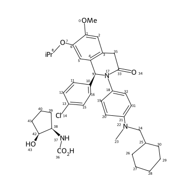 COc1cc2c(cc1OC(C)C)[C@H](c1ccc(Cl)cc1)N(c1ccc(N(C)CC3CCCCC3)cc1)C(=O)C2.O=C(O)N[C@@H]1CCC[C@@H]1O